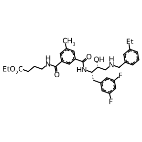 CCOC(=O)CCCNC(=O)c1cc(C)cc(C(=O)N[C@@H](Cc2cc(F)cc(F)c2)[C@H](O)CNCc2cccc(CC)c2)c1